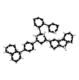 c1cncc(-c2ccccc2-c2nc(-c3ccc(-c4cccc5ccccc45)cc3)cc(-c3ccc4oc5ccccc5c4c3)n2)c1